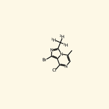 [2H]C([2H])([2H])c1nc(Br)c2c(Cl)ncc(C)n12